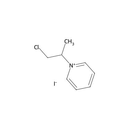 CC(CCl)[n+]1ccccc1.[I-]